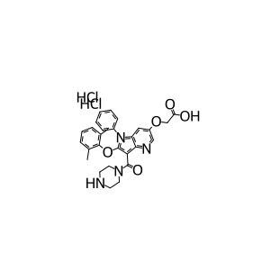 Cc1cccc(C)c1Oc1c(C(=O)N2CCNCC2)c2ncc(OCC(=O)O)cc2n1-c1ccccc1.Cl.Cl